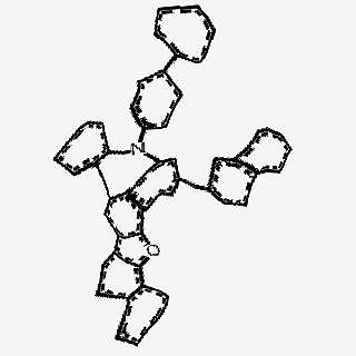 c1ccc(-c2ccc(N(c3cccc(-c4ccc5ccccc5c4)c3)c3ccccc3-c3ccc4oc5c6ccccc6ccc5c4c3)cc2)cc1